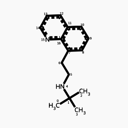 CC(C)(C)NCCc1cccc2cccnc12